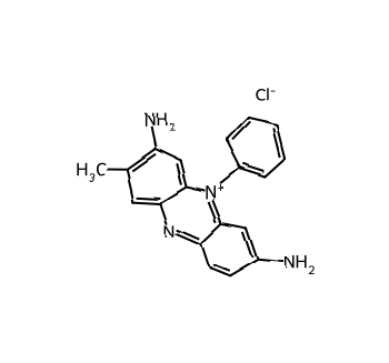 Cc1cc2nc3ccc(N)cc3[n+](-c3ccccc3)c2cc1N.[Cl-]